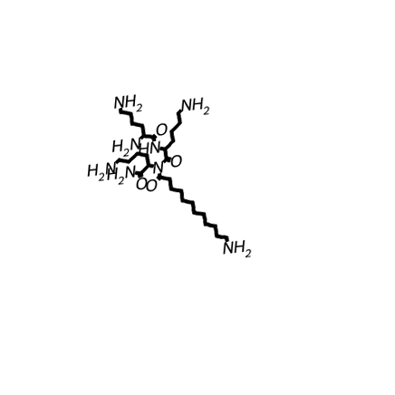 NCCCCCCCCCCCC(=O)N(C(=O)C(CCCCN)NC(=O)C(N)CCCCN)C(CCCCN)C(N)=O